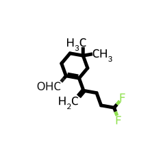 C=C(CCC(F)F)C1=C(C=O)CCC(C)(C)C1